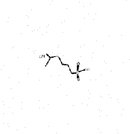 CC(C)CCCCS(=O)(=O)O.[LiH]